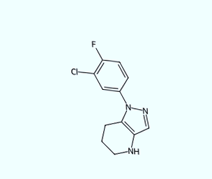 Fc1ccc(-n2ncc3c2CCCN3)cc1Cl